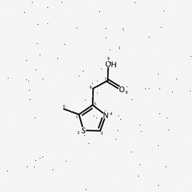 Cc1scnc1CC(=O)O